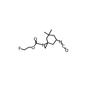 CC1(C)CC(N=C=O)CC2(CN2C(=O)OCCF)C1